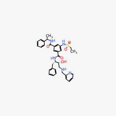 CCS(=O)(=O)Nc1cc(C(=O)N[C@@H](Cc2ccccc2)[C@H](O)CNCc2ccccn2)cc(C(=O)N[C@H](C)c2ccccc2)c1